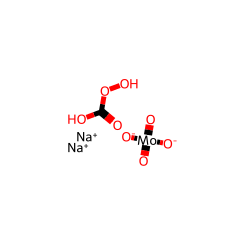 O=C(O)OO.[Na+].[Na+].[O]=[Mo](=[O])([O-])[O-]